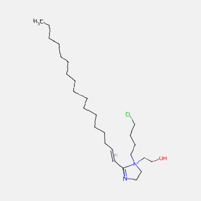 CCCCCCCCCCCCCCC/C=C/C1=NCC[N+]1(CCO)CCCCCl